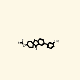 N#Cc1cccc(-c2ccc3c(c2)C(=O)C2(CCC(OC(F)F)CC2)C3)c1